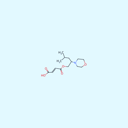 CC(C)CC(COC(=O)/C=C/C(=O)O)N1CCOCC1